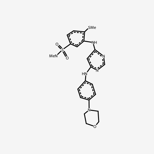 CNS(=O)(=O)c1ccc(SC)c(Nc2cc(Nc3ccc(N4CCOCC4)cc3)ncn2)c1